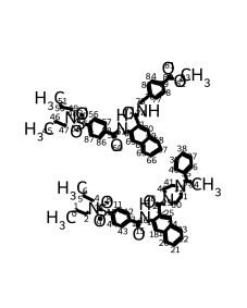 CCCN(CCC)S(=O)(=O)c1ccc(C(=O)Nc2cc3ccccc3cc2C(=O)N2CCN(C(C)c3ccccc3)CC2)cc1.CCCN(CCC)S(=O)(=O)c1ccc(C(=O)Nc2cc3ccccc3cc2C(=O)NCc2ccc(C(=O)OC)cc2)cc1